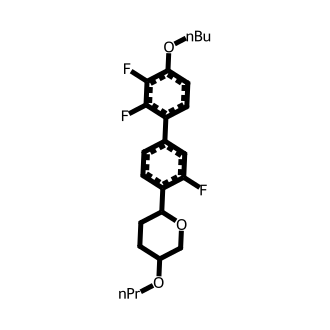 CCCCOc1ccc(-c2ccc(C3CCC(OCCC)CO3)c(F)c2)c(F)c1F